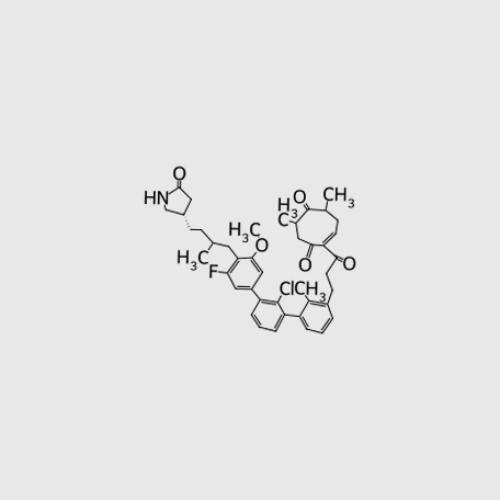 COc1cc(-c2cccc(-c3cccc(CCC(=O)/C4=C/CC(C)C(=O)C(C)CC4=O)c3C)c2Cl)cc(F)c1CC(C)CC[C@@H]1CNC(=O)C1